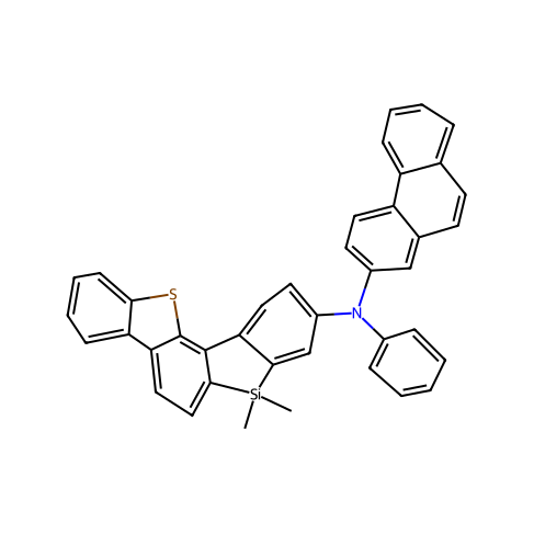 C[Si]1(C)c2cc(N(c3ccccc3)c3ccc4c(ccc5ccccc54)c3)ccc2-c2c1ccc1c2sc2ccccc21